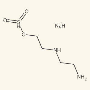 NCCNCCO[SH](=O)=O.[NaH]